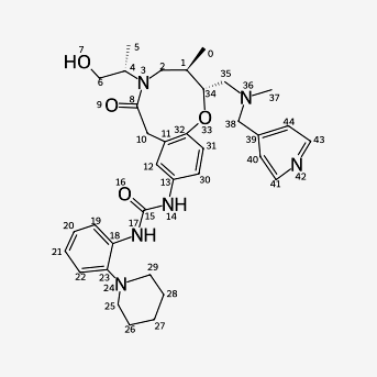 C[C@@H]1CN([C@@H](C)CO)C(=O)Cc2cc(NC(=O)Nc3ccccc3N3CCCCC3)ccc2O[C@H]1CN(C)Cc1ccncc1